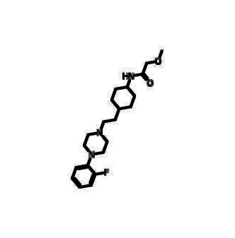 COCC(=O)NC1CCC(CCN2CCN(c3ccccc3F)CC2)CC1